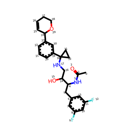 CC(=O)NC(Cc1cc(F)cc(F)c1)C(O)CNC1(c2cccc(C3C=CCCO3)c2)CC1